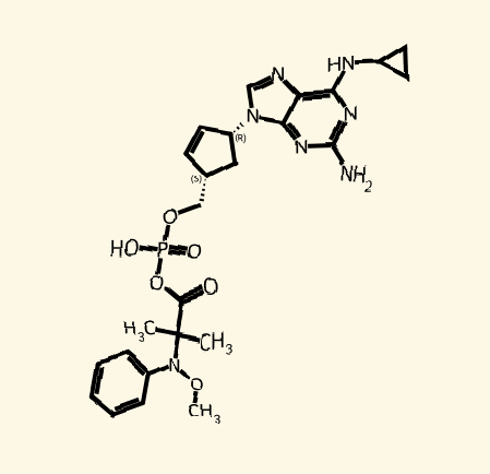 CON(c1ccccc1)C(C)(C)C(=O)OP(=O)(O)OC[C@@H]1C=C[C@H](n2cnc3c(NC4CC4)nc(N)nc32)C1